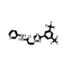 O=C(/C=C\n1cnc(-c2cc(C(F)(F)F)cc(C(F)(F)F)c2)n1)NNc1cccnc1